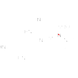 CC(C)COC(=O)N1C2CCC1CN(c1ccnc3[nH]c(/C(C=N)=C/C=N)nc13)C2